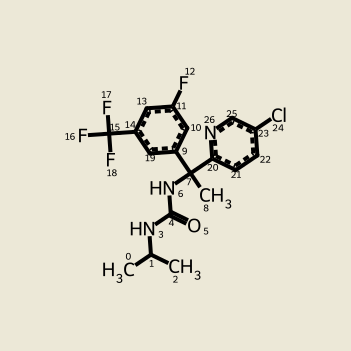 CC(C)NC(=O)NC(C)(c1cc(F)cc(C(F)(F)F)c1)c1ccc(Cl)cn1